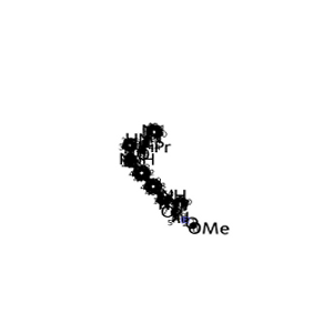 COO/C=N/[C@@H](C)C(=O)N1CCC[C@H]1c1ncc(-c2ccc(-c3ccc(-c4cnc([C@@H]5CCCN5C(=O)[C@H](Nc5ncccn5)C(C)C)[nH]4)cc3)cc2)[nH]1